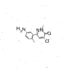 Cc1ccc(N)cc1-c1cc(Cl)c(=O)n(C)n1